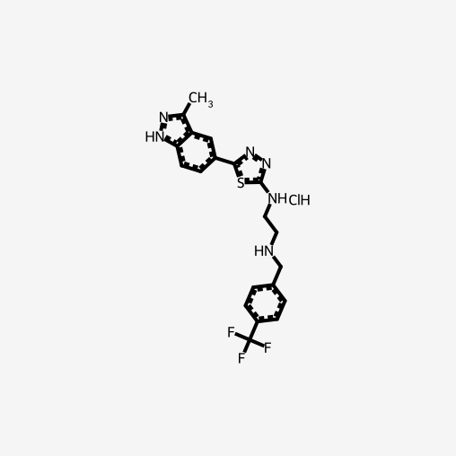 Cc1n[nH]c2ccc(-c3nnc(NCCNCc4ccc(C(F)(F)F)cc4)s3)cc12.Cl